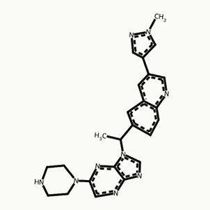 CC(c1ccc2ncc(-c3cnn(C)c3)cc2c1)n1cnc2ncc(N3CCNCC3)nc21